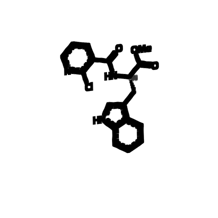 COC(=O)[C@H](Cc1c[nH]c2ccccc12)NC(=O)c1cccnc1Cl